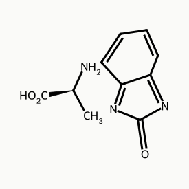 C[C@H](N)C(=O)O.O=C1N=c2ccccc2=N1